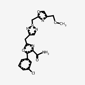 COCc1coc(Cn2ncc(Cc3nc(C(N)=O)c(-c4cccc(Cl)c4)o3)n2)n1